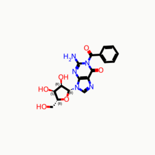 Nc1nc2c(ncn2[C@@H]2O[C@H](CO)[C@@H](O)[C@H]2O)c(=O)n1C(=O)c1ccccc1